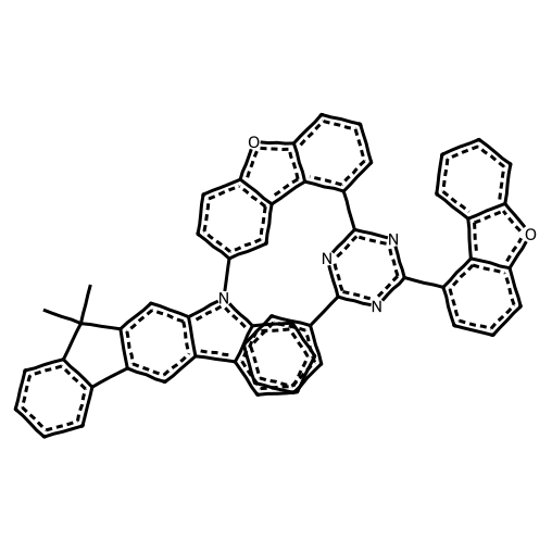 CC1(C)c2ccccc2-c2cc3c4ccccc4n(-c4ccc5oc6cccc(-c7nc(-c8ccccc8)nc(-c8cccc9oc%10ccccc%10c89)n7)c6c5c4)c3cc21